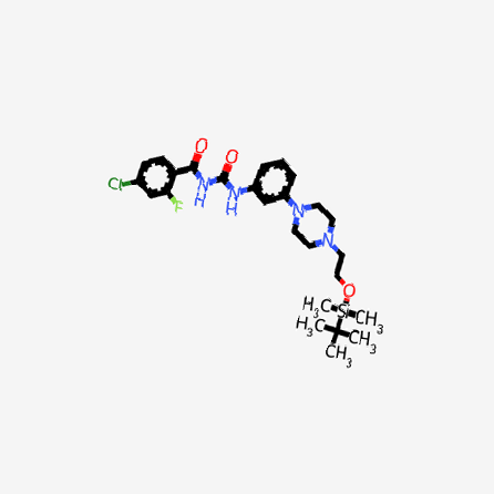 CC(C)(C)[Si](C)(C)OCCN1CCN(c2cccc(NC(=O)NC(=O)c3ccc(Cl)cc3F)c2)CC1